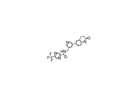 CN1C(=O)CCc2cc(-c3cncc(CNC(=O)c4cnc(C(F)(F)F)cn4)c3)ccc21